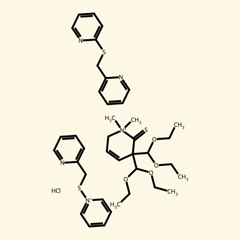 CCOC(OCC)C1(C(OCC)OCC)C=CC[N+](C)(C)C1=S.Cl.c1cc[n+](SCc2ccccn2)cc1.c1ccc(CSc2ccccn2)nc1